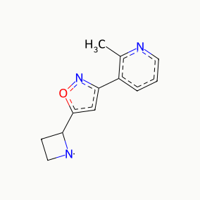 Cc1ncccc1-c1cc(C2CC[N]2)on1